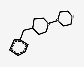 c1ccc(CC2CCN(N3CC[N]CC3)CC2)cc1